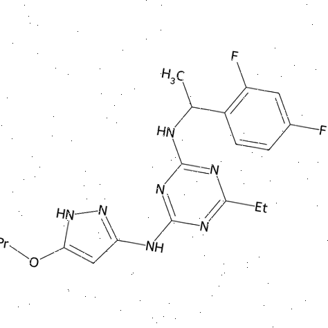 CCc1nc(Nc2cc(OC(C)C)[nH]n2)nc(NC(C)c2ccc(F)cc2F)n1